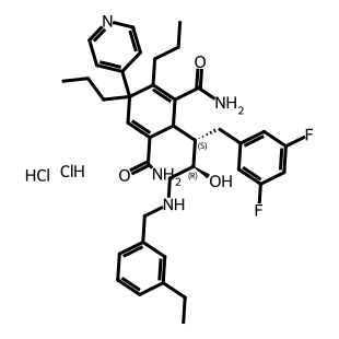 CCCC1=C(C(N)=O)C([C@H](Cc2cc(F)cc(F)c2)[C@@H](O)CNCc2cccc(CC)c2)C(C(N)=O)=CC1(CCC)c1ccncc1.Cl.Cl